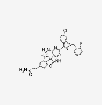 C[C@@]1(c2ccc(CCC(N)=O)cc2)C(=O)Nc2nc(-c3nn(Cc4ccccc4F)c4cc(Cl)ccc34)nc(N)c21